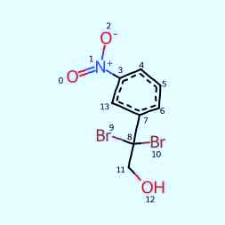 O=[N+]([O-])c1cccc(C(Br)(Br)CO)c1